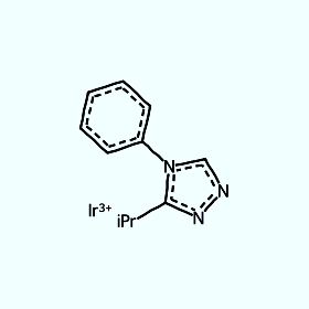 CC(C)c1nncn1-c1ccccc1.[Ir+3]